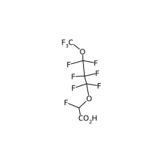 O=C(O)C(F)OC(F)(F)C(F)(F)C(F)(F)OC(F)(F)F